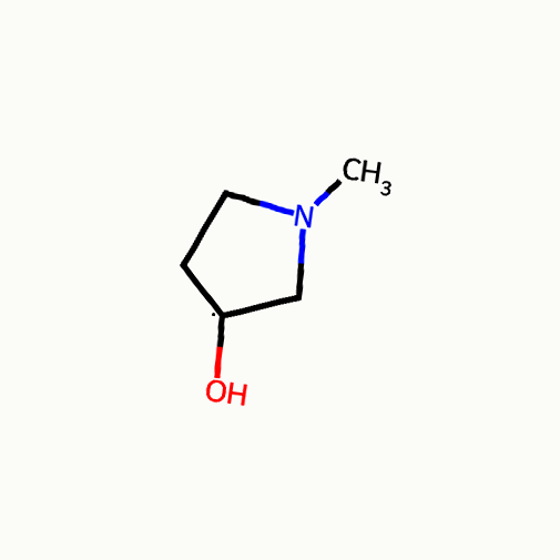 CN1CC[C](O)C1